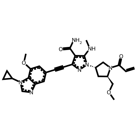 C=CC(=O)N1C[C@@H](n2nc(C#Cc3cc(OC)c4c(c3)ncn4C3CC3)c(C(N)=O)c2NC)C[C@@H]1COC